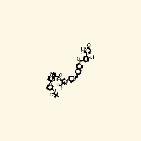 CC(C)(C)C(=O)O[C@H]1CCCN(c2ccn3ncc(C(=O)Nc4cn(C5CCN(CC6CCC7(CC6)CCN(C(=O)c6ccc(Cl)c(N8CCC(=O)NC8=O)c6)CC7)CC5)nc4C(F)F)c3n2)C1